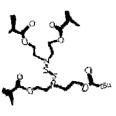 C=C(C)C(=O)OCCN(CCOC(=O)C(=C)C)SSN(CCOC(=O)C(=C)C)CCOC(=O)C(C)(C)C